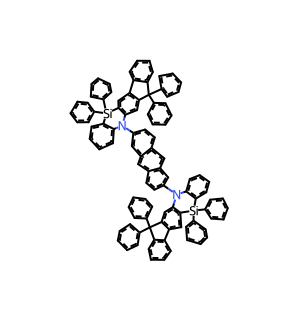 c1ccc(C2(c3ccccc3)c3ccccc3-c3cc4c(cc32)N(c2ccc3cc5cc(N6c7ccccc7[Si](c7ccccc7)(c7ccccc7)c7cc8c(cc76)C(c6ccccc6)(c6ccccc6)c6ccccc6-8)ccc5cc3c2)c2ccccc2[Si]4(c2ccccc2)c2ccccc2)cc1